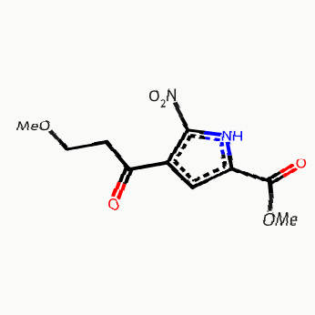 COCCC(=O)c1cc(C(=O)OC)[nH]c1[N+](=O)[O-]